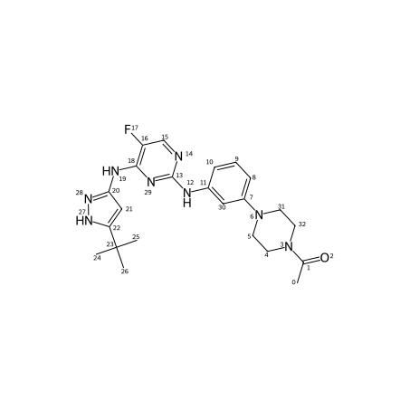 CC(=O)N1CCN(c2cccc(Nc3ncc(F)c(Nc4cc(C(C)(C)C)[nH]n4)n3)c2)CC1